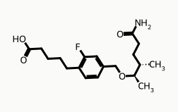 C[C@@H](CCC(N)=O)[C@@H](C)OCc1ccc(CCCCC(=O)O)c(F)c1